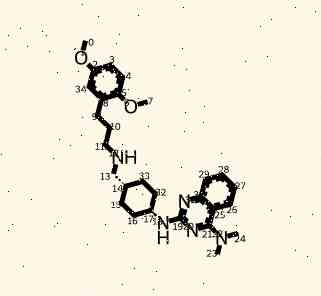 COc1ccc(OC)c(CCCNC[C@H]2CC[C@@H](Nc3nc(N(C)C)c4ccccc4n3)CC2)c1